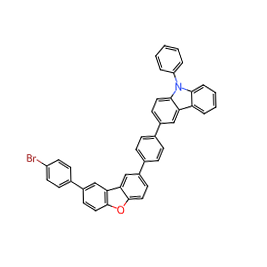 Brc1ccc(-c2ccc3oc4ccc(-c5ccc(-c6ccc7c(c6)c6ccccc6n7-c6ccccc6)cc5)cc4c3c2)cc1